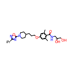 Cc1cc(OCCCC2CCN(c3nc(C(C)C)no3)CC2)cc(C)c1C(=O)NC[C@H](O)CO